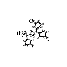 CC(C)(O)C(c1cc(F)cc(F)c1)C1CN(C(c2ccc(Cl)cc2)c2cccc(Cl)c2)C1